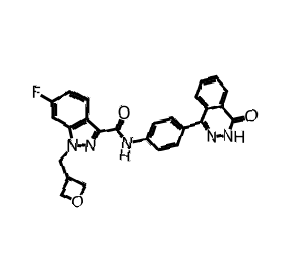 O=C(Nc1ccc(-c2n[nH]c(=O)c3ccccc23)cc1)c1nn(CC2COC2)c2cc(F)ccc12